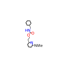 CNc1cccc(CCOC(=O)NCc2ccccc2)n1